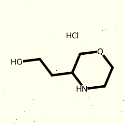 Cl.OCCC1COCCN1